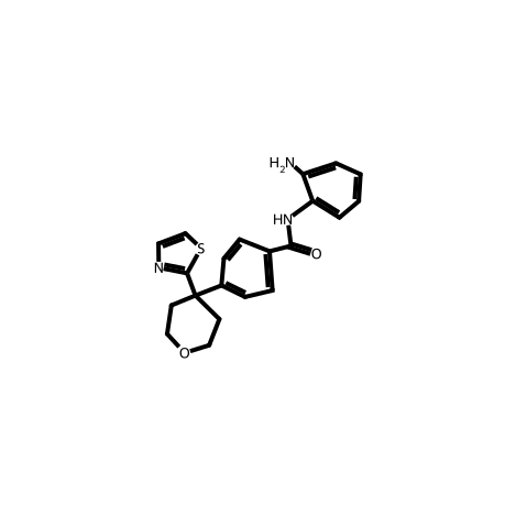 Nc1ccccc1NC(=O)c1ccc(C2(c3nccs3)CCOCC2)cc1